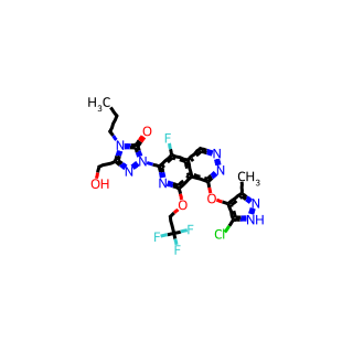 CCCn1c(CO)nn(-c2nc(OCC(F)(F)F)c3c(Oc4c(C)n[nH]c4Cl)nncc3c2F)c1=O